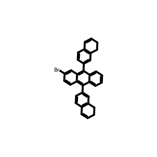 Brc1ccc2c(-c3ccc4c(c3)CCC=C4)c3ccccc3c(-c3ccc4c(c3)CCC=C4)c2c1